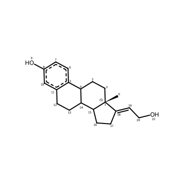 C[C@]12CCC3c4ccc(O)cc4CCC3C1CCC2=CCO